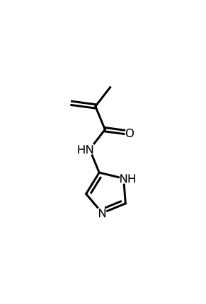 C=C(C)C(=O)Nc1cnc[nH]1